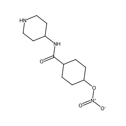 O=C(NC1CCNCC1)C1CCC(O[N+](=O)[O-])CC1